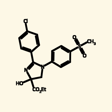 CCOC(=O)C1(O)CN(c2ccc(S(C)(=O)=O)cc2)C(c2ccc(Cl)cc2)=N1